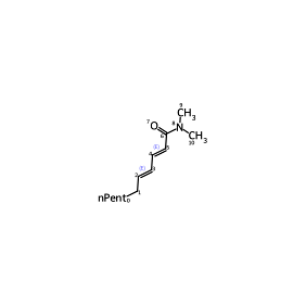 CCCCCC/C=C/C=C/C(=O)N(C)C